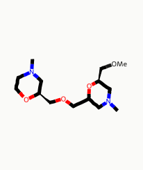 COC[C@H]1CN(C)CC(COC[C@@H]2CN(C)CCO2)O1